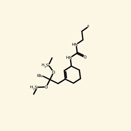 C[SiH2]OC(CC1=CC(NC(=O)NCCF)CCC1)(O[SiH2]C)C(C)(C)C